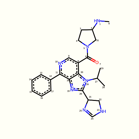 CNC1CCN(C(=O)c2cnc(-c3ccccc3)c3nc(C4CNC=N4)n(C(C)C)c23)C1